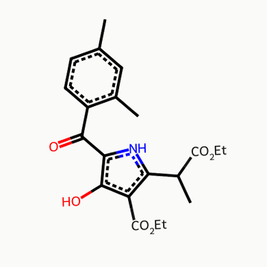 CCOC(=O)c1c(C(C)C(=O)OCC)[nH]c(C(=O)c2ccc(C)cc2C)c1O